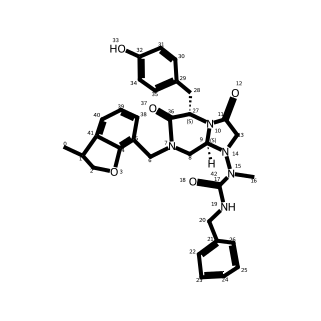 CC1COc2c(CN3C[C@H]4N(C(=O)CN4N(C)C(=O)NCc4ccccc4)[C@@H](Cc4ccc(O)cc4)C3=O)cccc21